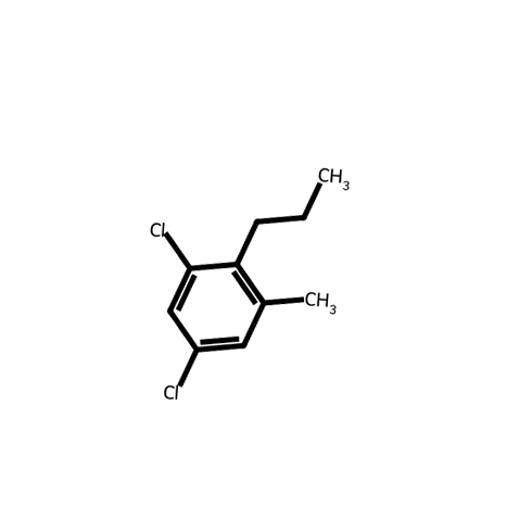 CCCc1c(C)cc(Cl)cc1Cl